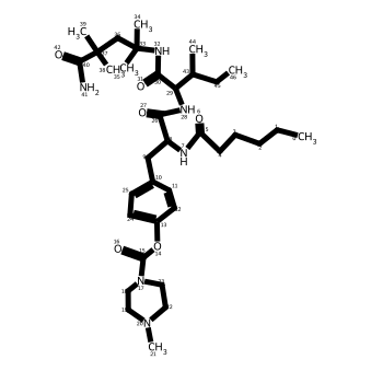 CCCCCC(=O)NC(Cc1ccc(OC(=O)N2CCN(C)CC2)cc1)C(=O)NC(C(=O)NC(C)(C)CC(C)(C)C(N)=O)C(C)CC